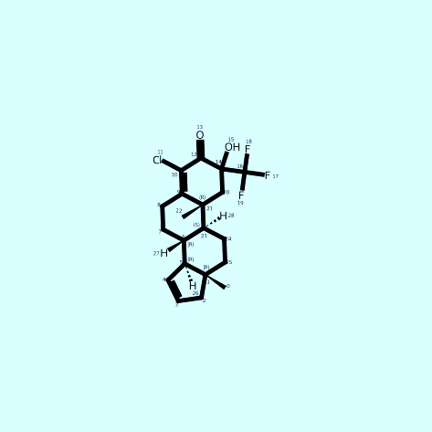 C[C@@]12CC=C[C@H]1[C@@H]1CCC3=C(Cl)C(=O)C(O)(C(F)(F)F)C[C@]3(C)[C@H]1CC2